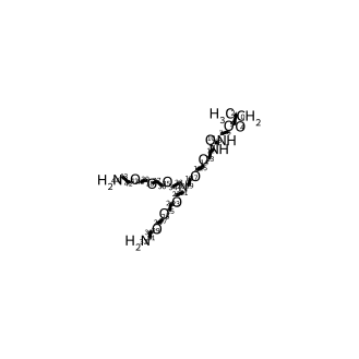 C=C(C)C(=O)OCCNC(=O)NCCOCCOCCN(CCOCCOCCOCCN)CCOCCOCCOCCN